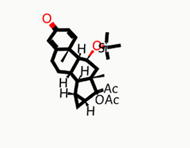 CC(=O)O[C@]1(C(C)=O)[C@@H]2C[C@@H]2[C@H]2[C@@H]3CCC4=CC(=O)C=C[C@]4(C)[C@H]3[C@@H](O[Si](C)(C)C)C[C@@]21C